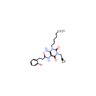 C#CCn1c(=O)c(NC(=O)CCc2ccccc2Br)c(N)n(CCCCCC(=O)OCC)c1=O